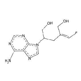 Nc1ncnc2c1ncn2C(CO)C/C(=C/F)CO